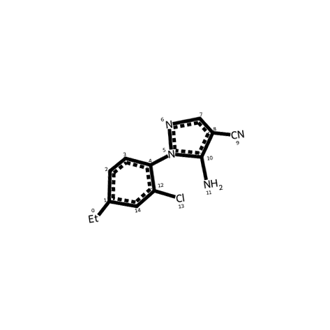 CCc1ccc(-n2ncc(C#N)c2N)c(Cl)c1